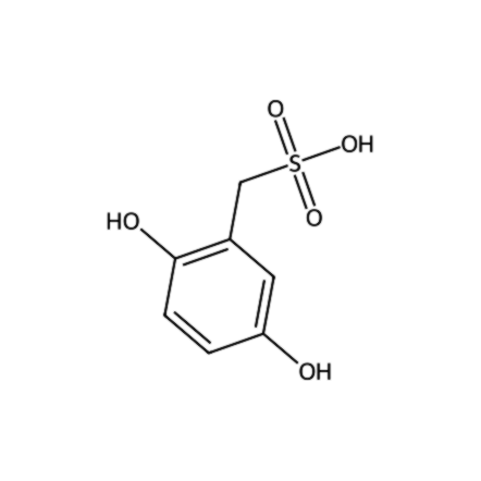 O=S(=O)(O)Cc1cc(O)ccc1O